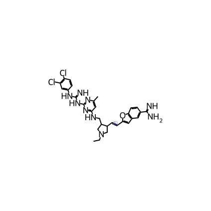 CCN1CC(/C=C/c2cc3cc(C(=N)N)ccc3o2)C(CNc2cc(C)nc(NC(=N)Nc3ccc(Cl)c(Cl)c3)n2)C1